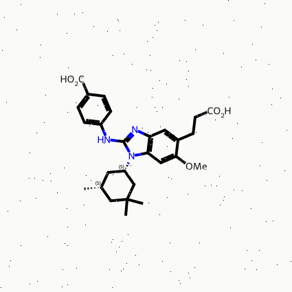 COc1cc2c(cc1CCC(=O)O)nc(Nc1ccc(C(=O)O)cc1)n2[C@H]1C[C@@H](C)CC(C)(C)C1